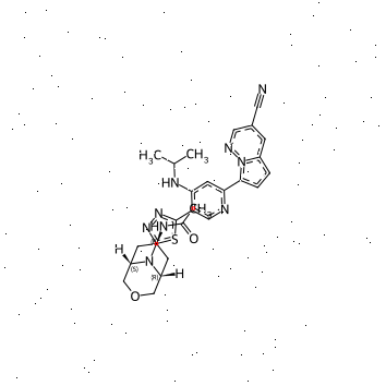 CC(=O)N[C@@H]1C[C@H]2COC[C@@H](C1)N2c1nnc(-c2cnc(-c3ccc4cc(C#N)cnn34)cc2NC(C)C)s1